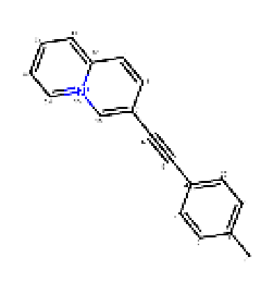 Cc1ccc(C#Cc2ccc3cccc[n+]3c2)cc1